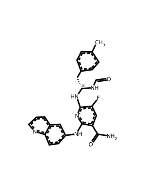 Cc1ccc(C[C@H](NC=O)Nc2nc(Nc3ccc4ncccc4c3)c(C(N)=O)cc2F)cc1